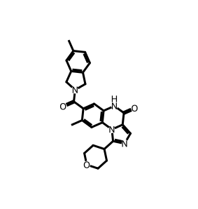 Cc1ccc2c(c1)CN(C(=O)c1cc3[nH]c(=O)c4cnc(C5CCOCC5)n4c3cc1C)C2